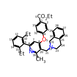 CCOC(=O)c1ccc(Oc2cc(-c3c(CC)cccc3CC)nc(C)c2CN2CCc3ccccc3C2)cc1